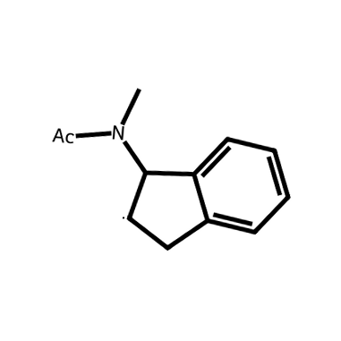 CC(=O)N(C)C1[CH]Cc2ccccc21